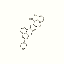 OC(c1cc(-c2ncnc3cc(N4CCOCC4)ccc23)c(F)cc1Cl)c1nccnc1Cl